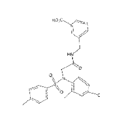 Cc1ccc(S(=O)(=O)N(CC(=O)NCc2cccc(C(=O)O)c2)c2ccc(Cl)cc2C)cc1